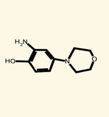 Nc1cc(N2CCOCC2)ccc1O